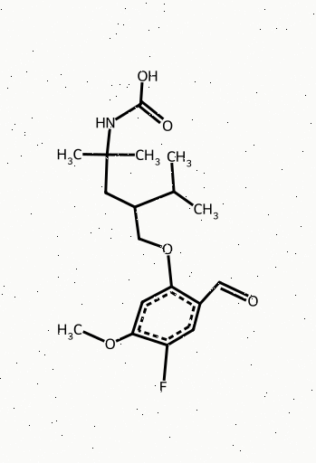 COc1cc(OCC(CC(C)(C)NC(=O)O)C(C)C)c(C=O)cc1F